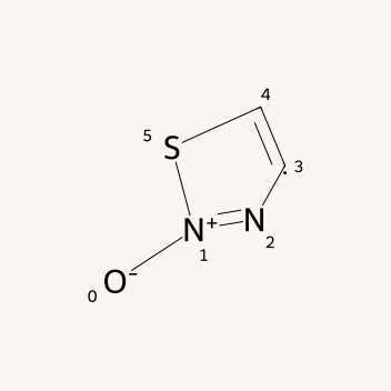 [O-][n+]1n[c]cs1